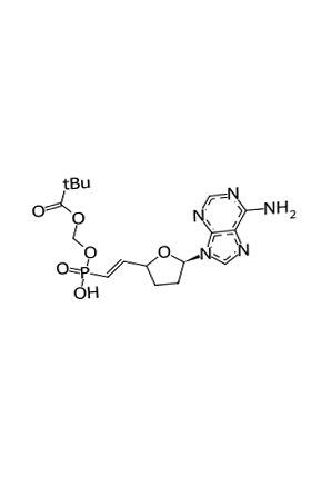 CC(C)(C)C(=O)OCOP(=O)(O)/C=C/C1CC[C@H](n2cnc3c(N)ncnc32)O1